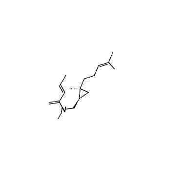 C=C(/C=C/C)N(C)C[C@@H]1C[C@]1(C)CCC=C(C)C